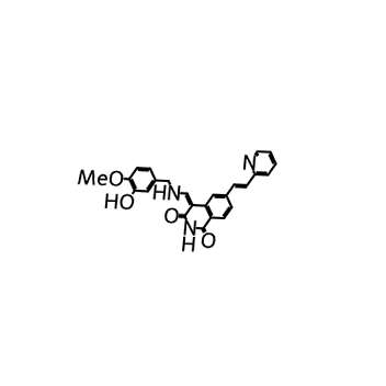 COc1ccc(CN/C=C2\C(=O)NC(=O)c3ccc(/C=C/c4ccccn4)cc32)cc1O